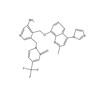 Cc1cc(-n2ccnc2)c2cccc(OCc3c(N)cncc3Cn3ccc(C(F)(F)F)cc3=O)c2n1